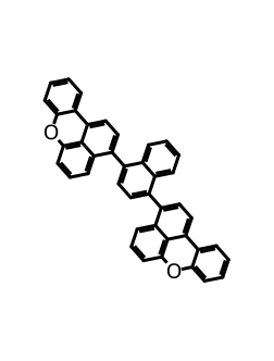 c1ccc2c(c1)Oc1cccc3c(-c4ccc(-c5ccc6c7c(cccc57)Oc5ccccc5-6)c5ccccc45)ccc-2c13